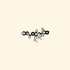 CC1(C)CN(C[C@@H](O)[C@@H]2Cc3ccccc3CN2)C(=O)c2ccc(C(=O)N3CCC4(CCOCC4)C3)cc21